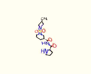 N#CC1CN(S(=O)(=O)N2CCC[C@H](C(=O)NC(=O)[C@H]3CCCN3)C2)C1